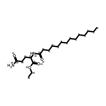 CCCCCCCCCCCCCC(=O)NC(CCC(N)=O)C(=O)OCC